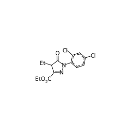 CCOC(=O)C1=NN(c2ccc(Cl)cc2Cl)C(=O)C1CC